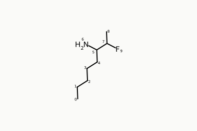 CCCCCC(N)C(C)F